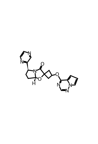 O=C1N2[C@@H](CC[C@H]2c2cnccn2)OC12CC(Oc1ncnn3cccc13)C2